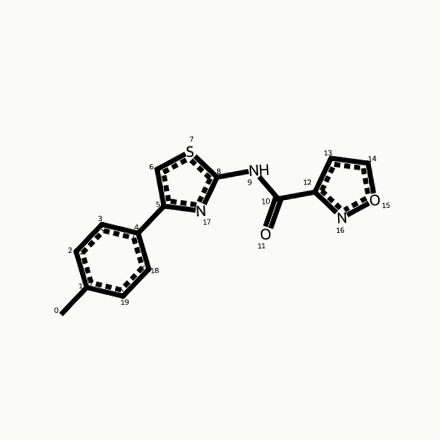 Cc1ccc(-c2csc(NC(=O)c3ccon3)n2)cc1